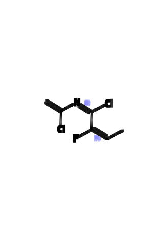 C=C(Cl)/N=C(Cl)\C(F)=C/C